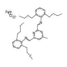 CCCCc1cccc(CCCC)c1N=Cc1cc(C)cc(C=Nc2c(CCCC)cccc2CCCC)n1.[Cl-].[Cl-].[Cl-].[Fe+3]